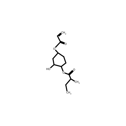 C=CC(=O)OC1CCC(OC(=O)C(C)CC)C(O)C1